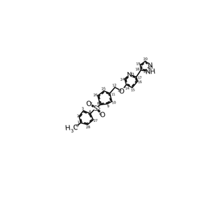 Cc1ccc(S(=O)(=O)c2ccc(COc3ccc(-c4ccn[nH]4)nc3)cc2)cc1